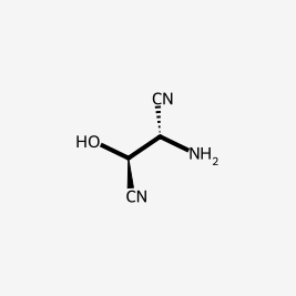 N#C[C@@H](O)[C@@H](N)C#N